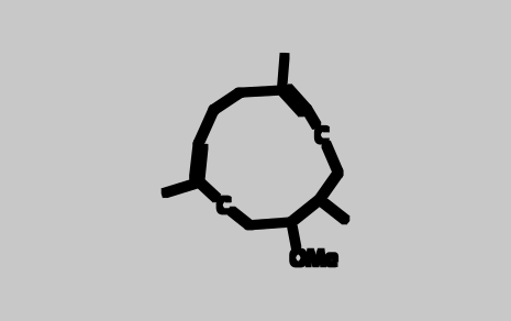 COC1CC/C(C)=C\CC/C(C)=C\CCC1C